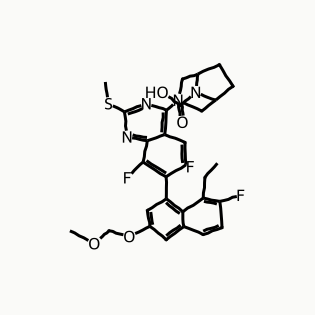 CCc1c(F)ccc2cc(OCOC)cc(-c3c(F)cc4c(N5CC6CCC(C5)N6C(=O)O)nc(SC)nc4c3F)c12